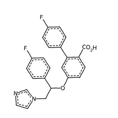 O=C(O)c1ccc(OC(Cn2ccnc2)c2ccc(F)cc2)cc1-c1ccc(F)cc1